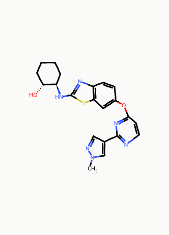 Cn1cc(-c2nccc(Oc3ccc4nc(N[C@@H]5CCCC[C@H]5O)sc4c3)n2)cn1